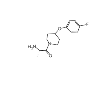 C[C@H](N)C(=O)N1CCC(Oc2ccc(F)cc2)CC1